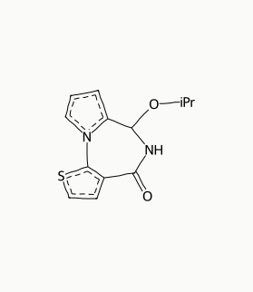 CC(C)OC1NC(=O)c2ccsc2-n2cccc21